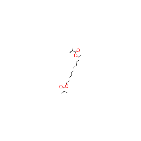 C=C(C)C(=O)OCCCCCCCCCCC(C)OC(=O)C(=C)C